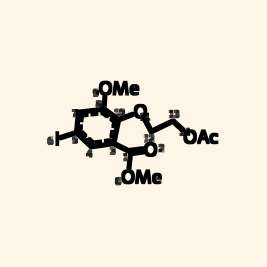 COC(=O)c1cc(I)cc(OC)c1OCCOC(C)=O